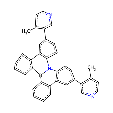 Cc1ccncc1-c1ccc2c(c1)-c1ccccc1B1c3ccccc3-c3cc(-c4cnccc4C)ccc3N12